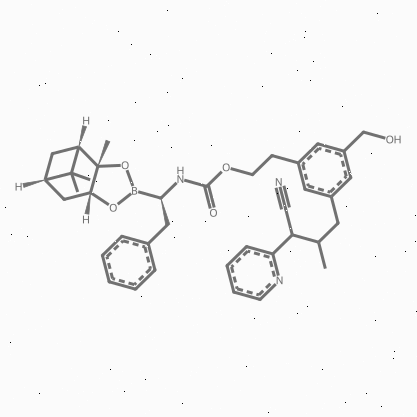 CC(Cc1cc(CO)cc(CCOC(=O)N[C@@H](Cc2ccccc2)B2O[C@@H]3C[C@@H]4C[C@@H](C4(C)C)[C@]3(C)O2)c1)C(C#N)c1ccccn1